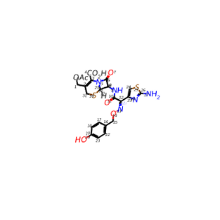 CC(=O)OCC1=C(C(=O)O)N2C(=O)[C@@H](NC(=O)/C(=N\OCc3ccc(O)cc3)c3csc(N)n3)[C@H]2SC1